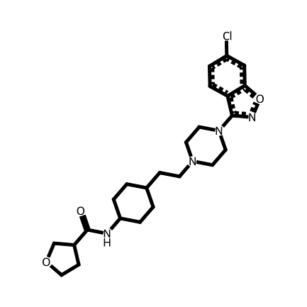 O=C(NC1CCC(CCN2CCN(c3noc4cc(Cl)ccc34)CC2)CC1)C1CCOC1